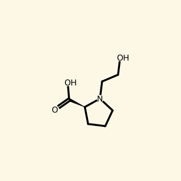 O=C(O)[C@@H]1CCCN1CCO